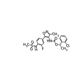 Cc1noc(-c2ccc(NS(C)(=O)=O)c(F)c2)c1NC(=O)OC(C)c1ccccc1Cl